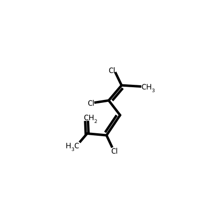 C=C(C)/C(Cl)=C\C(Cl)=C(/C)Cl